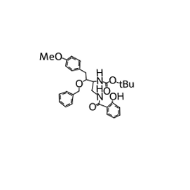 COc1ccc(CC(OCc2ccccc2)C(CNC(=O)c2ccccc2O)NC(=O)OC(C)(C)C)cc1